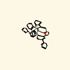 c1ccc(-c2ccc(N(c3ccc(-c4ccccc4)cc3-c3ccccc3)c3cccc4c3[Si](c3ccccc3)(c3ccccc3)c3ccccc3-4)cc2)cc1